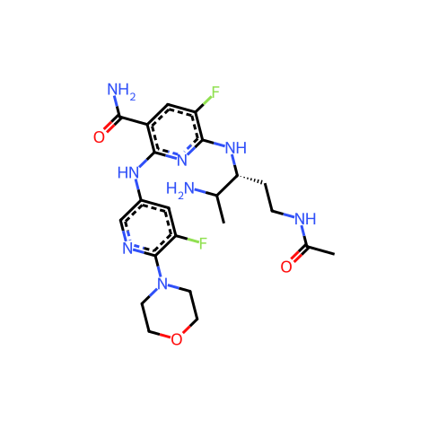 CC(=O)NCC[C@@H](Nc1nc(Nc2cnc(N3CCOCC3)c(F)c2)c(C(N)=O)cc1F)C(C)N